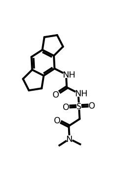 CN(C)C(=O)CS(=O)(=O)NC(=O)Nc1c2c(cc3c1CCC3)CCC2